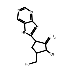 C=C1C(c2nc3ncncc3[nH]2)CC(CO)C1O